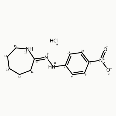 Cl.O=[N+]([O-])c1ccc(NN=C2CCCCCN2)cc1